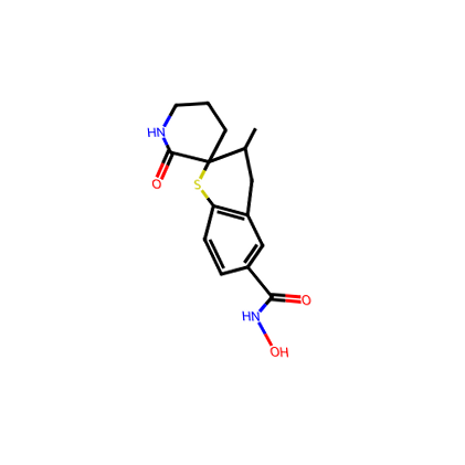 CC1Cc2cc(C(=O)NO)ccc2SC12CCCNC2=O